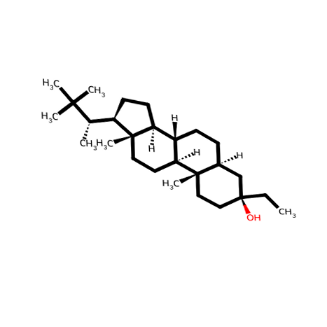 CC[C@]1(O)CC[C@@]2(C)[C@@H](CC[C@@H]3[C@@H]2CC[C@]2(C)[C@@H]([C@H](C)C(C)(C)C)CC[C@@H]32)C1